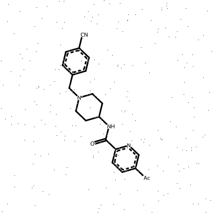 CC(=O)c1ccc(C(=O)NC2CCN(Cc3ccc(C#N)cc3)CC2)nc1